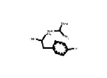 CC(C=O)Cc1ccc(C(C)C)cc1.COC(C)OC